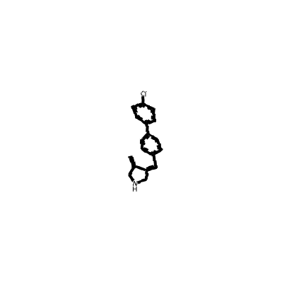 C=C1CNCC1=Cc1ccc(-c2ccc(Cl)cc2)cc1